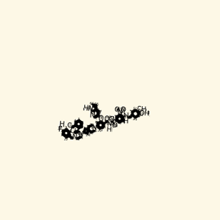 CC(C)c1ccccc1[C@@H]1CN(Cc2ccc(F)cc2)CCN1C1CC2(CCN(c3ccc(C(=O)NS(=O)(=O)c4ccc(NCC5CCC(C)(O)CC5)c([N+](=O)[O-])c4)c(Oc4cnc5[nH]ccc5c4)c3)CC2)C1